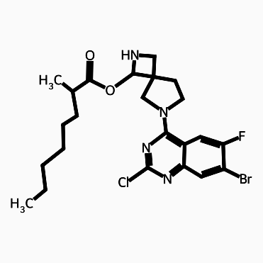 CCCCCCC(C)C(=O)OC1NCC12CCN(c1nc(Cl)nc3cc(Br)c(F)cc13)C2